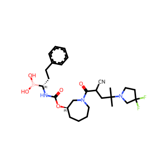 CC(C)(CC(C#N)C(=O)N1CCCC[C@@H](OC(=O)N[C@@H](CCc2ccccc2)B(O)O)C1)N1CCC(F)(F)C1